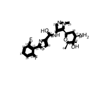 C[C@H]1O[C@@H](c2c(NC(O)c3csc(-c4c(F)cccc4F)n3)cnn2C)C[C@@H](N)[C@]1(C)O